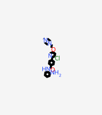 CN1CCN(CCOc2cnc(-c3ccc(C(=O)Nc4ccccc4N)cc3)c(Cl)c2)CC1